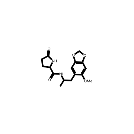 COc1cc2c(cc1CC(C)NC(=O)C1CCC(=O)N1)OCO2